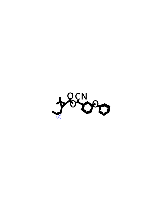 C/C=C\C1C(C(=O)OC(C#N)c2cccc(Oc3ccccc3)c2)C1(C)C